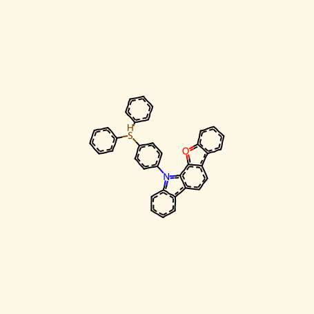 c1ccc([SH](c2ccccc2)c2ccc(-n3c4ccccc4c4ccc5c6ccccc6oc5c43)cc2)cc1